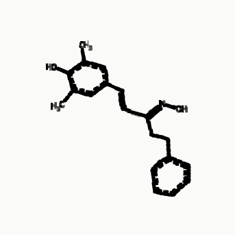 Cc1cc(C=CC(CCc2ccccc2)=NO)cc(C)c1O